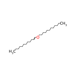 CCCCCCCCCCC=COCCCCCCCCCCCC